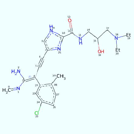 C=N/C(N)=C(/C#Cc1c[nH]c(C(=O)NCC(O)CN(CC)CC)n1)c1cc(Cl)ccc1C